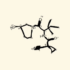 CC(C)(C)C(NC(=O)C1(C#N)CC1)C(=O)N1CC[C@@H](O)C1